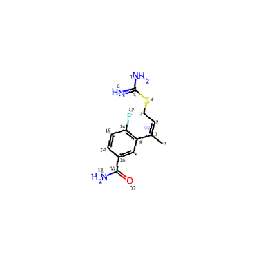 C/C(=C/CSC(=N)N)c1cc(C(N)=O)ccc1F